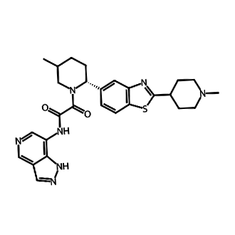 CC1CC[C@H](c2ccc3sc(C4CCN(C)CC4)nc3c2)N(C(=O)C(=O)Nc2cncc3cn[nH]c23)C1